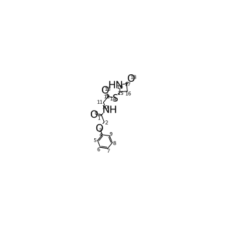 O=C(COc1ccccc1)NCC(=O)S[C@@H]1CC(=O)N1